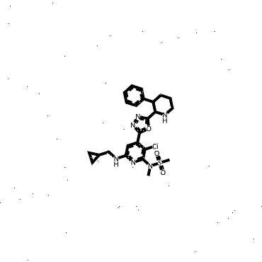 CN(c1nc(NCC2CC2)cc(-c2nnc(C3NCCCC3c3ccccc3)o2)c1Cl)S(C)(=O)=O